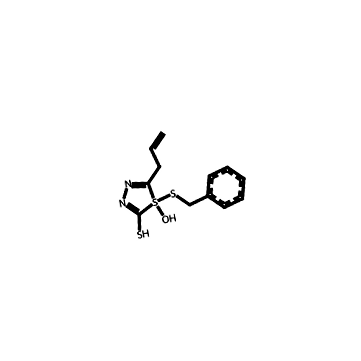 C=CCC1=NN=C(S)S1(O)SCc1ccccc1